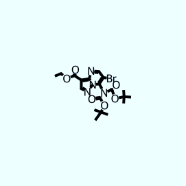 CCOC(=O)c1cnn2c(N(C(=O)OC(C)(C)C)C(=O)OC(C)(C)C)c(Br)cnc12